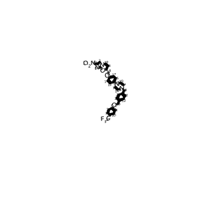 O=[N+]([O-])c1cn2c(n1)O[C@@H](COc1ccc(N3CCN(Cc4ccc(COc5ccc(C(F)(F)F)cc5)cc4)CC3)cc1)CC2